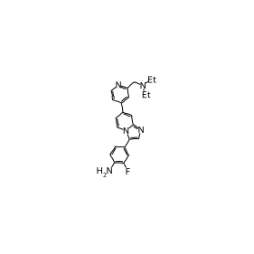 CCN(CC)Cc1cc(-c2ccn3c(-c4ccc(N)c(F)c4)cnc3c2)ccn1